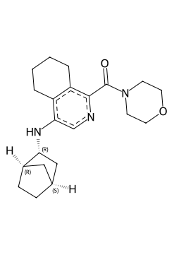 O=C(c1ncc(N[C@@H]2C[C@H]3CC[C@@H]2C3)c2c1CCCC2)N1CCOCC1